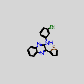 Brc1cccc(Nc2nc3ccccc3nc2-c2cccs2)c1